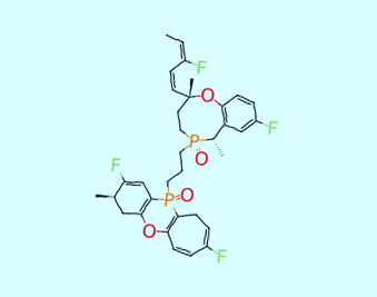 C/C=C(F)\C=C/[C@@]1(C)CCP(=O)(CCCP2(=O)C3=C(C[C@@H](C)C(F)=C3)OC3=C2CC=C(F)C=C3)[C@@H](C)c2cc(F)ccc2O1